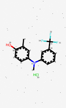 Cc1cc(N(C)c2cccc(C(F)(F)F)c2)ccc1O.Cl